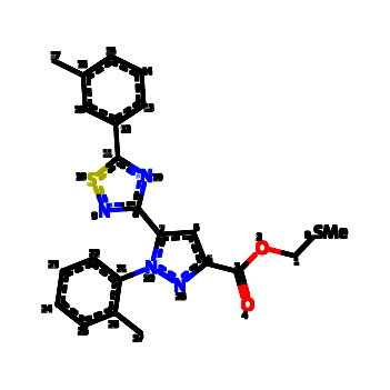 CSCOC(=O)c1cc(-c2nsc(-c3cccc(C)c3)n2)n(-c2ccccc2C)n1